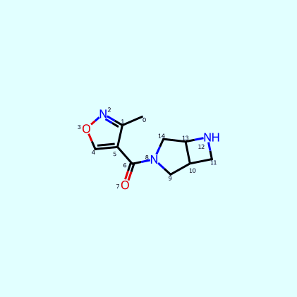 Cc1nocc1C(=O)N1CC2CNC2C1